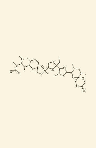 CCC1(C2OC(C3OC4(COC(=O)CO4)C(C)CC3C)CC2C)CCC(C2(C)CCC3(C=CC(C)C(C(C)C(OC)C(C)C(=O)F)O3)O2)O1